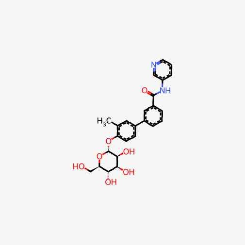 Cc1cc(-c2cccc(C(=O)Nc3cccnc3)c2)ccc1O[C@H]1O[C@H](CO)[C@@H](O)[C@H](O)[C@@H]1O